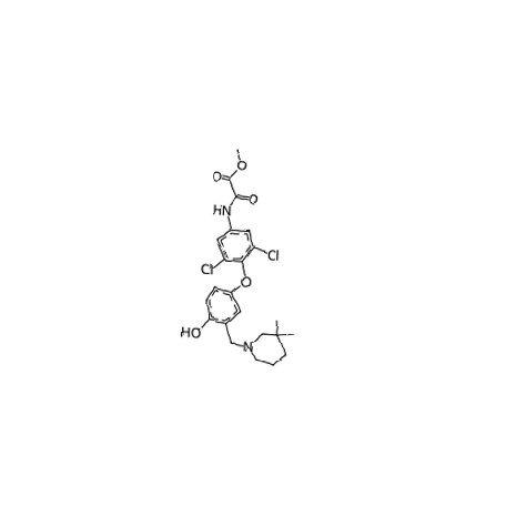 COC(=O)C(=O)Nc1cc(Cl)c(Oc2ccc(O)c(CN3CCCC(C)(C)C3)c2)c(Cl)c1